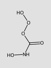 O=C(NO)OOO